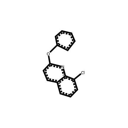 Clc1cccc2ccc(Oc3ccccc3)nc12